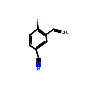 C=[C]c1cc(C#N)ccc1I